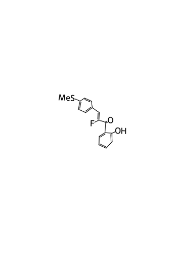 CSc1ccc(C=C(F)C(=O)c2ccccc2O)cc1